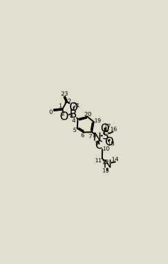 C=C1OB(c2ccc(N(CCCN(C)C)S(C)(=O)=O)cc2)OC1=C